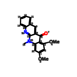 COc1cc(OC)c2c(=O)c3cc4ccccc4nc3n(C)c2c1